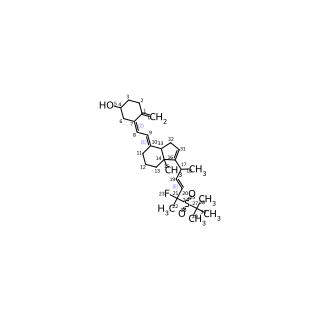 C=C1CCC(O)C/C1=C/C=C1\CCCC2(C)C(C(C)/C=C/C(C)(F)S(=O)(=O)C(C)(C)C)=CCC12